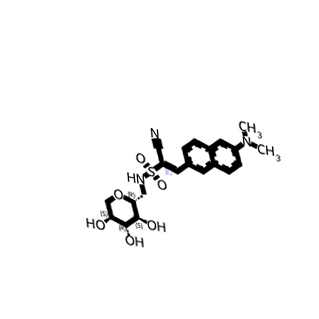 CN(C)c1ccc2cc(/C=C(\C#N)S(=O)(=O)NC[C@H]3OC[C@H](O)[C@@H](O)[C@@H]3O)ccc2c1